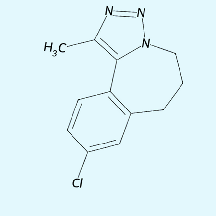 Cc1nnn2c1-c1ccc(Cl)cc1CCC2